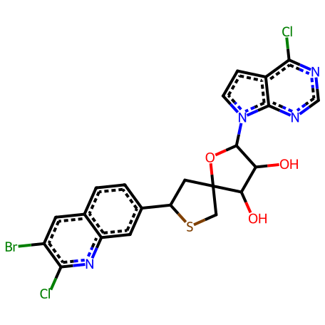 OC1C(n2ccc3c(Cl)ncnc32)OC2(CSC(c3ccc4cc(Br)c(Cl)nc4c3)C2)C1O